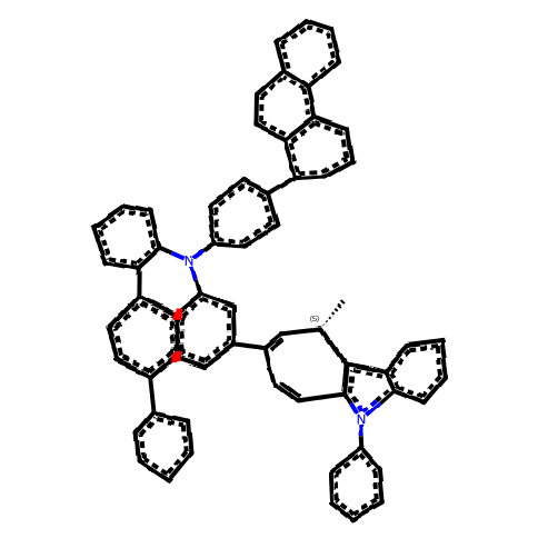 C[C@H]1C=C(c2cccc(N(c3ccc(-c4cccc5c4ccc4ccccc45)cc3)c3ccccc3-c3ccc(-c4ccccc4)cc3)c2)C=Cc2c1c1ccccc1n2-c1ccccc1